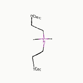 CCCCCCCCCCCC[PH](C)(C)CCCCCCCCCCCC